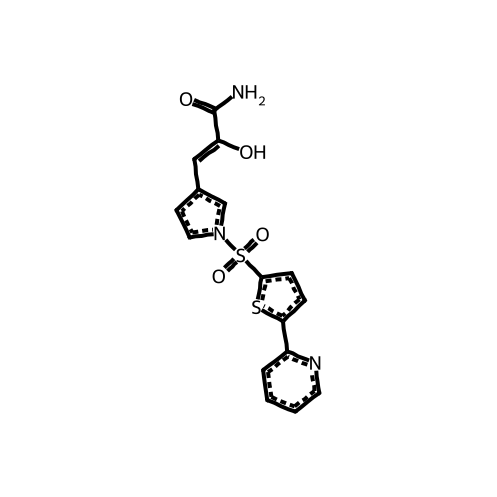 NC(=O)C(O)=Cc1ccn(S(=O)(=O)c2ccc(-c3ccccn3)s2)c1